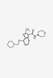 Cc1nc2c(OCC3CCCCC3)cccn2c1C(=O)NN1CCOCC1